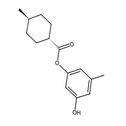 Cc1cc(O)cc(OC(=O)[C@H]2CC[C@H](C)CC2)c1